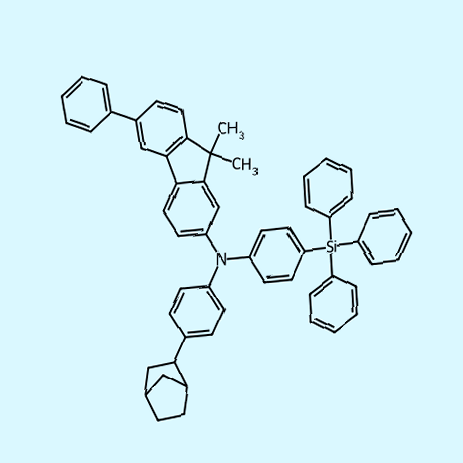 CC1(C)c2ccc(-c3ccccc3)cc2-c2ccc(N(c3ccc(C4CC5CCC4C5)cc3)c3ccc([Si](c4ccccc4)(c4ccccc4)c4ccccc4)cc3)cc21